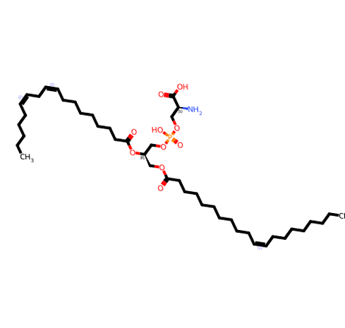 CCCCC/C=C\C/C=C\CCCCCCCC(=O)O[C@H](COC(=O)CCCCCCCCC/C=C\CCCCCCCC)COP(=O)(O)OC[C@H](N)C(=O)O